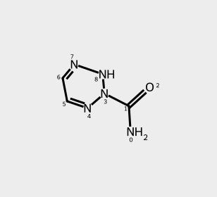 NC(=O)N1N=CC=NN1